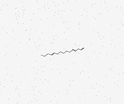 C=CCC=CCCCCCC=CCCC